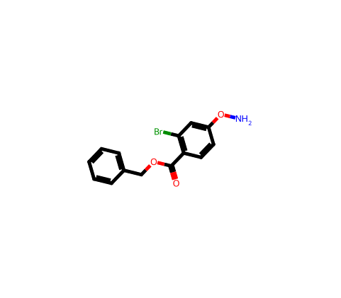 NOc1ccc(C(=O)OCc2ccccc2)c(Br)c1